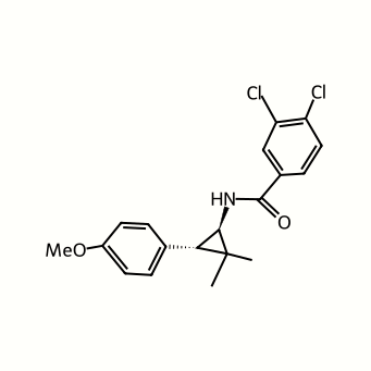 COc1ccc([C@@H]2[C@@H](NC(=O)c3ccc(Cl)c(Cl)c3)C2(C)C)cc1